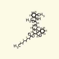 CCCCCCCC(=O)OC(CN1CCN(CC(=O)Nc2c(C)cccc2C)CC1)C1COc2ccccc2O1